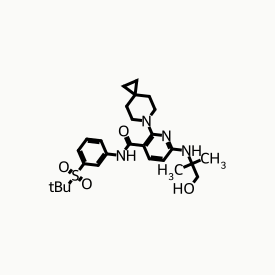 CC(C)(CO)Nc1ccc(C(=O)Nc2cccc(S(=O)(=O)C(C)(C)C)c2)c(N2CCC3(CC2)CC3)n1